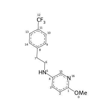 COc1ccc(NCCc2ccc(C(F)(F)F)cc2)cn1